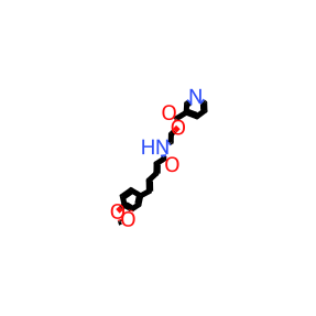 O=C(/C=C/C=C/c1ccc2c(c1)OCO2)NCCOC(=O)c1cccnc1